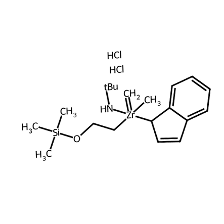 Cl.Cl.[CH2]=[Zr]([CH3])([CH2]CO[Si](C)(C)C)([NH]C(C)(C)C)[CH]1C=Cc2ccccc21